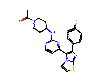 CC(=O)N1CCC(Nc2nccc(-c3c(-c4ccc(F)cc4)nc4sccn34)n2)CC1